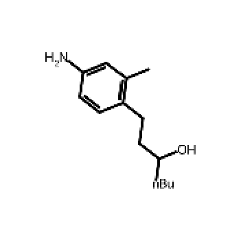 CCCCC(O)CCc1ccc(N)cc1C